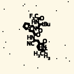 CC1(C)CCC(CC(C#N)NC(=O)C2CS3(CCCC3)CN2C(=O)C(NC(=O)C(F)(F)F)C(C)(C)C)C(=O)N1